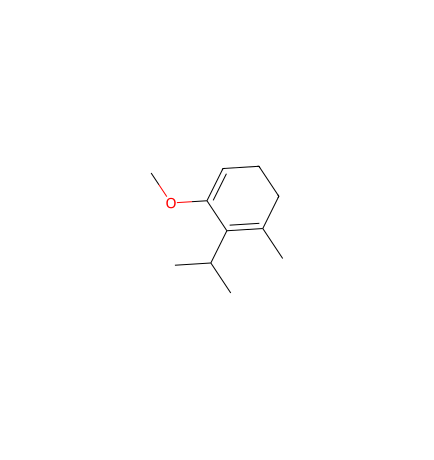 COC1=CCCC(C)=C1C(C)C